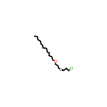 CCCCCCCCCCCCCOCCC=C=CCCCl